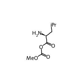 COC(=O)OC(=O)[C@@H](N)CC(C)C